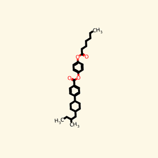 CCCCCCC(=O)Oc1ccc(OC(=O)c2ccc(C3CCC(CC(C)CC)CC3)cc2)cc1